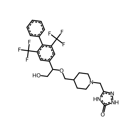 O=c1[nH]nc(CN2CCC(COC(CO)c3cc(C(F)(F)F)c(-c4ccccc4)c(C(F)(F)F)c3)CC2)[nH]1